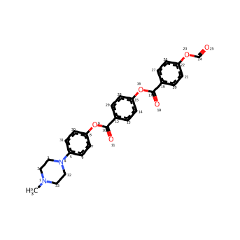 CN1CCN(c2ccc(OC(=O)c3ccc(OC(=O)c4ccc(OC=O)cc4)cc3)cc2)CC1